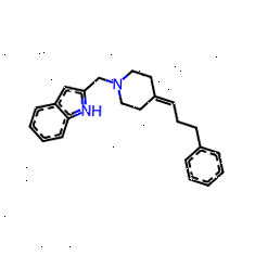 C(CCc1ccccc1)=C1CCN(Cc2cc3ccccc3[nH]2)CC1